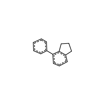 c1ccc(-c2cccc3c2CCC3)cc1